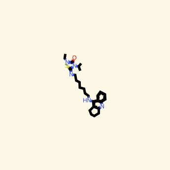 CCn1sc(=NCCCCCCCNc2c3c(nc4ccccc24)CCCC3)n(C(C)C)c1=O